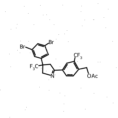 CC(=O)OCc1ccc(C2=NCC(c3cc(Br)cc(Br)c3)(C(F)(F)F)C2)cc1C(F)(F)F